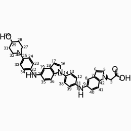 O=C(O)Cn1ccc2cc(Nc3ccc(-n4ccc5cc(Nc6ccc(N7CCC(O)CC7)cc6)ccc54)cc3)ccc21